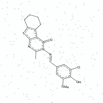 COc1cc(/C=N/n2c(C)nc3sc4c(c3c2=O)CCCC4)cc(Cl)c1O